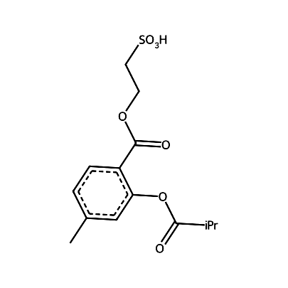 Cc1ccc(C(=O)OCCS(=O)(=O)O)c(OC(=O)C(C)C)c1